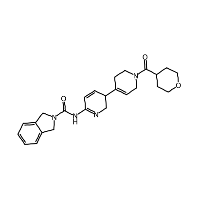 O=C(NC1=NCC(C2=CCN(C(=O)C3CCOCC3)CC2)C=C1)N1Cc2ccccc2C1